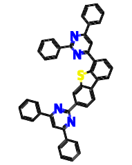 c1ccc(-c2cc(-c3ccccc3)nc(-c3ccc4c(c3)sc3c(-c5cc(-c6ccccc6)nc(-c6ccccc6)n5)cccc34)n2)cc1